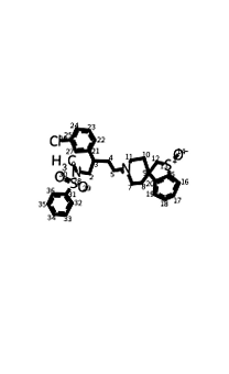 CN(CC(CCN1CCC2(CC1)C[S+]([O-])c1ccccc12)c1cccc(Cl)c1)S(=O)(=O)c1ccccc1